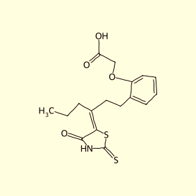 CCCC(CCc1ccccc1OCC(=O)O)=C1SC(=S)NC1=O